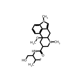 COC12CC(C(=O)NC(CO)C(C)F)CN(C)C1Cc1cn(C)c3cccc2c13